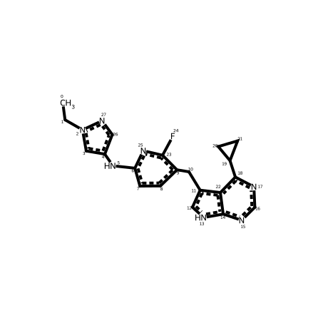 CCn1cc(Nc2ccc(Cc3c[nH]c4ncnc(C5CC5)c34)c(F)n2)cn1